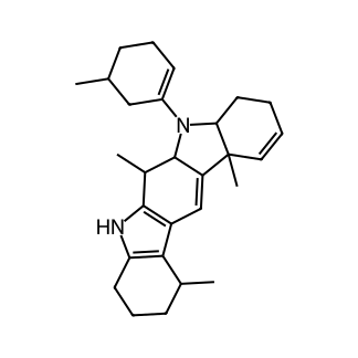 CC1CCC=C(N2C3C(=Cc4c([nH]c5c4C(C)CCC5)C3C)C3(C)C=CCCC23)C1